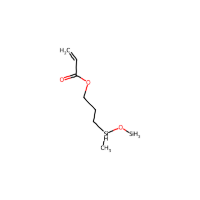 C=CC(=O)OCCC[SiH](C)O[SiH3]